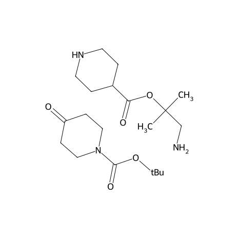 CC(C)(C)OC(=O)N1CCC(=O)CC1.CC(C)(CN)OC(=O)C1CCNCC1